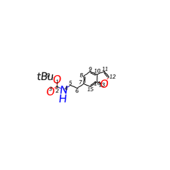 CC(C)(C)OC(=O)NCCc1ccc2ccoc2c1